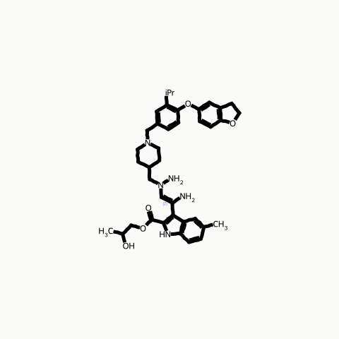 Cc1ccc2[nH]c(C(=O)OCC(C)O)c(/C(N)=C/N(N)CC3CCN(Cc4ccc(Oc5ccc6c(c5)CCO6)c(C(C)C)c4)CC3)c2c1